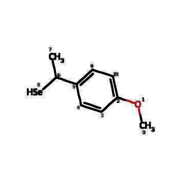 COc1ccc(C(C)[SeH])cc1